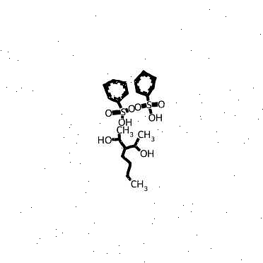 CCCCC(C(C)O)C(C)O.O=S(=O)(O)c1ccccc1.O=S(=O)(O)c1ccccc1